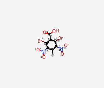 Cc1c([N+](=O)[O-])c(Br)c(C(=O)O)c(Br)c1[N+](=O)[O-]